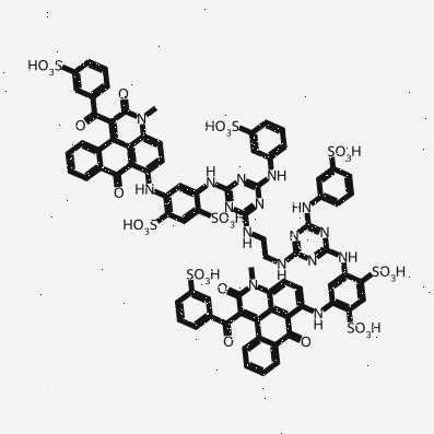 Cn1c(=O)c(C(=O)c2cccc(S(=O)(=O)O)c2)c2c3c(c(Nc4cc(Nc5nc(NCCNc6nc(Nc7cccc(S(=O)(=O)O)c7)nc(Nc7cc(Nc8ccc9c%10c8C(=O)c8ccccc8-c%10c(C(=O)c8cccc(S(=O)(=O)O)c8)c(=O)n9C)c(S(=O)(=O)O)cc7S(=O)(=O)O)n6)nc(Nc6cccc(S(=O)(=O)O)c6)n5)c(S(=O)(=O)O)cc4S(=O)(=O)O)ccc31)C(=O)c1ccccc1-2